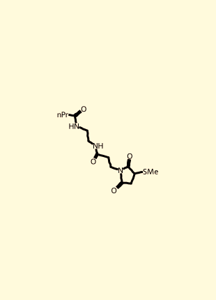 CCCC(=O)NCCNC(=O)CCN1C(=O)CC(SC)C1=O